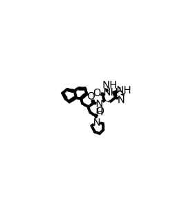 NNC(=O)[C@H](Cc1c[nH]cn1)NC(=O)C(CC(=O)N1CCCCC1)Cc1cccc2ccccc12